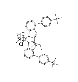 CCC(C)C1=Cc2c(-c3ccc(C(C)(C)C)cc3)cccc2[CH]1[Zr]([Cl])([Cl])([CH]1C(C)=Cc2c(-c3ccc([Si](C)(C)C)cc3)cccc21)[SiH](C)C